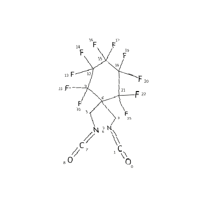 O=C=NCC1(CN=C=O)C(F)(F)C(F)(F)C(F)(F)C(F)(F)C1(F)F